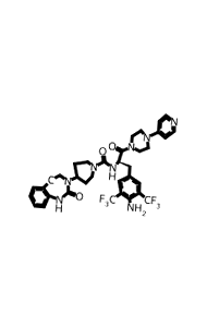 Nc1c(C(F)(F)F)cc(C[C@@H](NC(=O)N2CCC(N3CCc4ccccc4NC3=O)CC2)C(=O)N2CCN(c3ccncc3)CC2)cc1C(F)(F)F